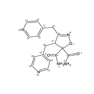 NC(=O)C1(C(N)=O)ON=C(Cc2ccncc2)C1Cc1ccncc1